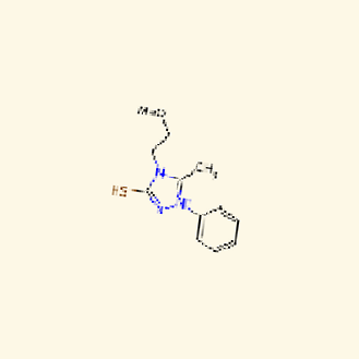 COCCn1c(S)n[n+](-c2ccccc2)c1C